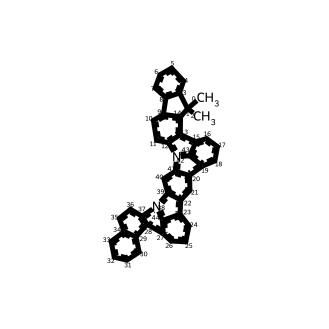 CC1(C)c2ccccc2-c2ccc3c(c21)c1cccc2c4cc5c6cccc7c8c9ccccc9ccc8n(c5cc4n3c21)c67